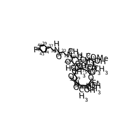 CC[C@H]1OC(=O)[C@H](C)[C@@H](O[C@H]2C[C@@](C)(OC)[C@@H](O)[C@H](C)O2)[C@H](C)[C@@H](O[C@@H]2O[C@H](C)C[C@H](N(C)CCC(=O)NCCc3ccc(F)cc3)[C@H]2O)[C@@]2(C)C[C@@H](CO2)C(=O)[C@H](C)[C@@H](O)[C@]1(C)O